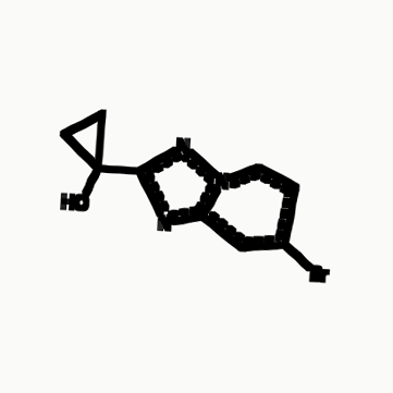 OC1(c2nc3cc(Br)ccn3n2)CC1